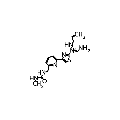 C=CCN[N+](=CN)c1nc(-c2cccc(CNC(=O)NC)n2)cs1